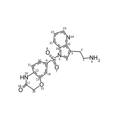 NCCc1cn(S(=O)(=O)c2ccc3c(c2)OCC(=O)N3)c2cccnc12